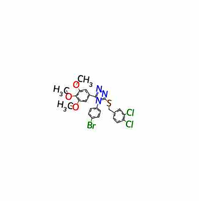 COc1cc(-c2nnc(SCc3ccc(Cl)c(Cl)c3)n2-c2ccc(Br)cc2)cc(OC)c1OC